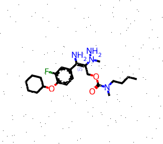 CCCCN(C)C(=O)OC/C(=C(/N)c1ccc(OC2CCCCC2)c(F)c1)N(C)N